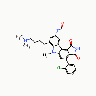 CN(C)CCCCc1cc(NC=O)cc2c3c4c(c(-c5ccccc5Cl)cc3n(C)c12)C(=O)NC4=O